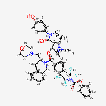 Cc1c(C(=O)N(C)c2ccc(O)cc2)cc(-c2cc3c(cc2C(=O)N2Cc4ccccc4C[C@H]2CN2CCOCC2)C(F)(F)N(C(=O)Oc2ccccc2)C3(F)F)n1C